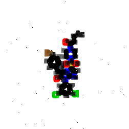 CC(=O)CCC(=O)N1CCN(S(=O)(=O)c2cnc3n2[C@](C)(Cc2ccc(Br)cc2)C(=O)N3c2cc(Cl)cc(Cl)c2)CC1